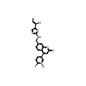 CC=C(CC)c1cnc(NCc2ccc3c(-c4ccc(F)[n+]([O-])c4)cc(=O)oc3c2)s1